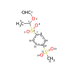 CC(O[C]=O)S(=O)(=O)c1ccc(S(C)(=O)=O)cc1